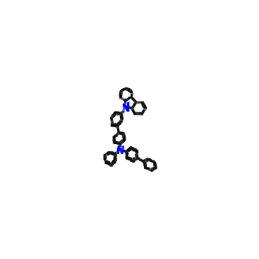 C1=CC2C3C=CC=CC3N(c3cccc(-c4ccc(N(c5ccccc5)c5ccc(-c6ccccc6)cc5)cc4)c3)C2C=C1